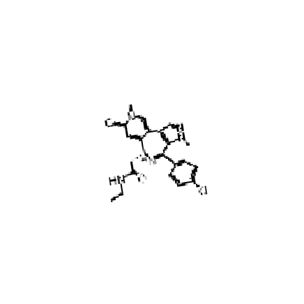 CCNC(=O)C[C@H]1N=C(c2ccc(Cl)cc2)c2c(cnn2C)-c2cn(C)c(=O)cc21